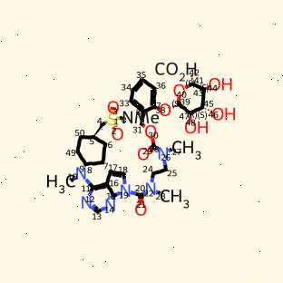 CNS(=O)(=O)C[C@H]1CC[C@H](N(C)c2ncnc3c2ccn3C(=O)N(C)CCN(C)C(=O)OCc2ccccc2O[C@@H]2O[C@H](C(=O)O)[C@@H](O)[C@H](O)[C@H]2O)CC1